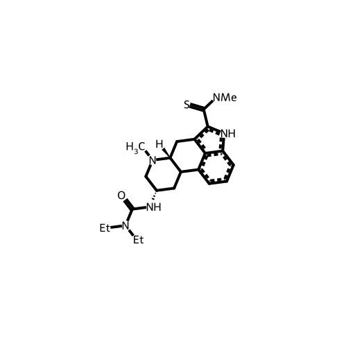 CCN(CC)C(=O)N[C@H]1CC2c3cccc4[nH]c(C(=S)NC)c(c34)C[C@H]2N(C)C1